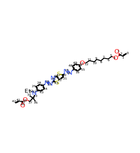 C=CC(=O)OCCCCCCCCOc1ccc(N=Nc2cc3sc(N=Nc4ccc(N(CC)CC(C)(C)COC(=O)C=C)cc4)nc3s2)cc1